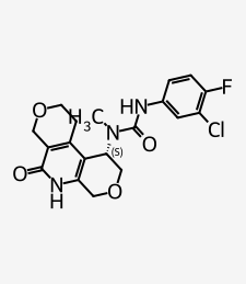 CN(C(=O)Nc1ccc(F)c(Cl)c1)[C@@H]1COCc2[nH]c(=O)c3c(c21)CCOC3